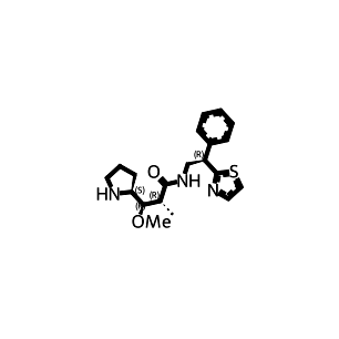 CO[C@@H]([C@@H]1CCCN1)[C@@H](C)C(=O)NC[C@@H](c1ccccc1)c1nccs1